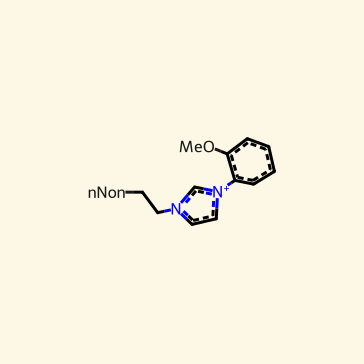 CCCCCCCCCCCn1cc[n+](-c2ccccc2OC)c1